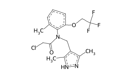 Cc1cccc(OCC(F)(F)F)c1N(Cc1c(C)n[nH]c1C)C(=O)CCl